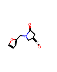 O=C=C1CC(=O)N(Cc2ccco2)C1